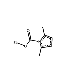 CCOC(=O)n1c(C)[c]cc1C